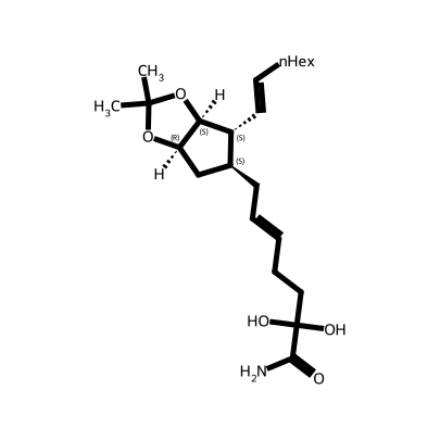 CCCCCCC=C[C@@H]1[C@@H](CC=CCCC(O)(O)C(N)=O)C[C@H]2OC(C)(C)O[C@@H]12